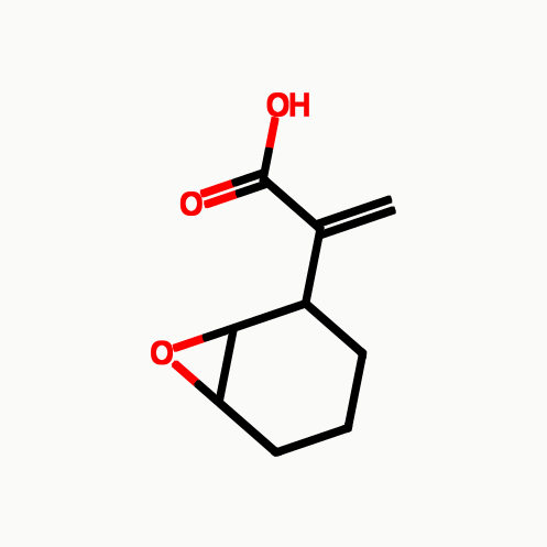 C=C(C(=O)O)C1CCCC2OC21